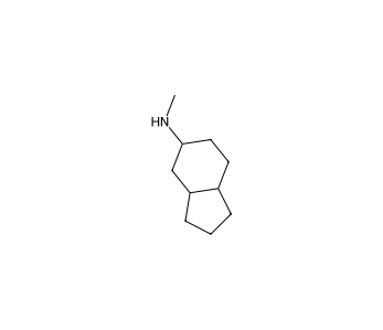 CNC1CCC2CCCC2C1